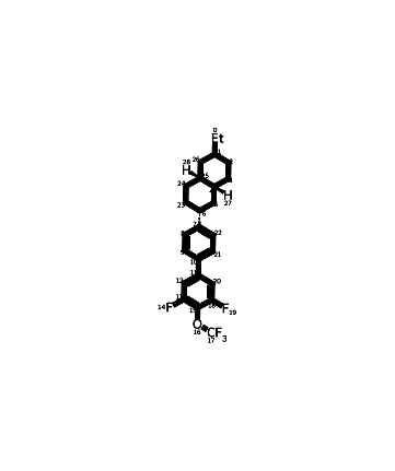 CCC1CC[C@@H]2C[C@H](c3ccc(-c4cc(F)c(OC(F)(F)F)c(F)c4)cc3)CC[C@@H]2C1